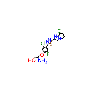 NC(CO)COc1cc(Cl)c(-c2nnc(-c3cn4cccc(Cl)c4n3)s2)cc1F